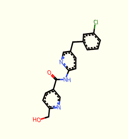 O=C(Nc1ccc(Cc2cccc(Cl)c2)cn1)c1ccc(CO)nc1